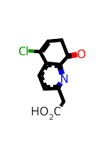 O=C(O)Cc1ccc2c(n1)C(=O)CC=C2Cl